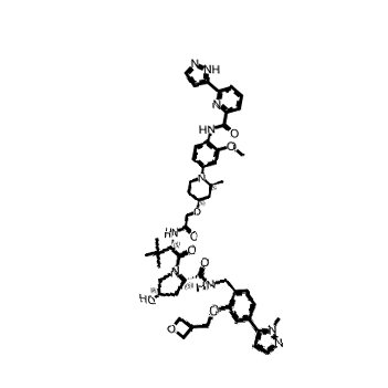 COc1cc(N2CC[C@H](OCC(=O)N[C@H](C(=O)N3C[C@H](O)C[C@H]3C(=O)NCc3ccc(-c4ccnn4C)cc3OCC3COC3)C(C)(C)C)C[C@@H]2C)ccc1NC(=O)c1cccc(-c2ccn[nH]2)n1